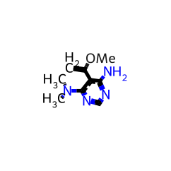 C=C(OC)c1c(N)ncnc1N(C)C